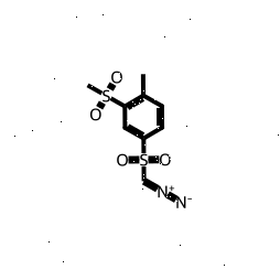 Cc1ccc(S(=O)(=O)C=[N+]=[N-])cc1S(C)(=O)=O